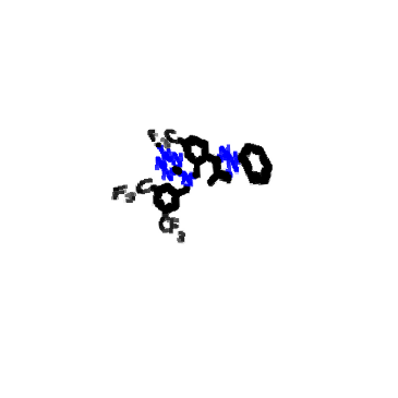 Cc1cn(-c2ccccc2)nc1-c1ccc(C(F)(F)F)cc1CN(Cc1cc(C(F)(F)F)cc(C(F)(F)F)c1)c1nnn(C)n1